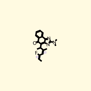 C/C=C(F)\C=C(\C)C(C)C1=C2N=C(N(C)C)N=C2c2ccccc2C1=O